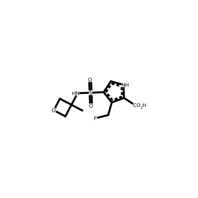 CC1(NS(=O)(=O)c2c[nH]c(C(=O)O)c2CF)COC1